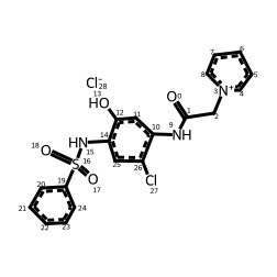 O=C(C[n+]1ccccc1)Nc1cc(O)c(NS(=O)(=O)c2ccccc2)cc1Cl.[Cl-]